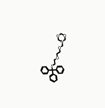 c1ccc(C(SCCOCCOCN2COCOC2)(c2ccccc2)c2ccccc2)cc1